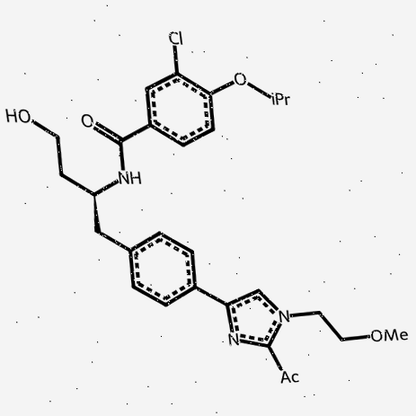 COCCn1cc(-c2ccc(C[C@@H](CCO)NC(=O)c3ccc(OC(C)C)c(Cl)c3)cc2)nc1C(C)=O